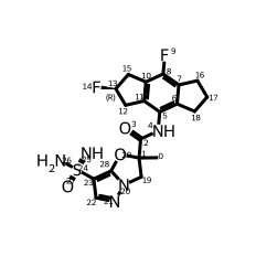 CC1(C(=O)Nc2c3c(c(F)c4c2C[C@@H](F)C4)CCC3)Cn2ncc(S(=N)(N)=O)c2O1